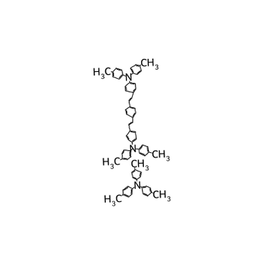 Cc1ccc(N(c2ccc(C)cc2)c2ccc(C)cc2)cc1.Cc1ccc(N(c2ccc(C)cc2)c2ccc(C=Cc3ccc(C=Cc4ccc(N(c5ccc(C)cc5)c5ccc(C)cc5)cc4)cc3)cc2)cc1